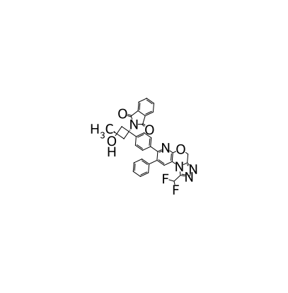 C[C@]1(O)C[C@@](c2ccc(-c3nc4c(cc3-c3ccccc3)-n3c(nnc3C(F)F)CO4)cc2)(N2C(=O)c3ccccc3C2=O)C1